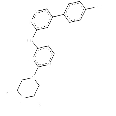 C[C@@H]1CN(c2nccc(Nc3cc(-c4ccc(O)cc4)cnn3)n2)C[C@H](C)O1